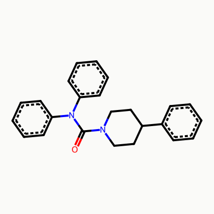 O=C(N1CCC(c2ccccc2)CC1)N(c1ccccc1)c1ccccc1